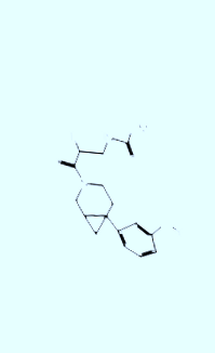 CCC(CNC(=O)OC)C(=O)N1CCC2(c3cccc(OC(F)(F)F)c3)CC2C1